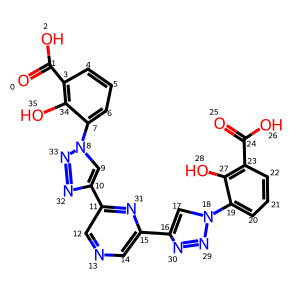 O=C(O)c1cccc(-n2cc(-c3cncc(-c4cn(-c5cccc(C(=O)O)c5O)nn4)n3)nn2)c1O